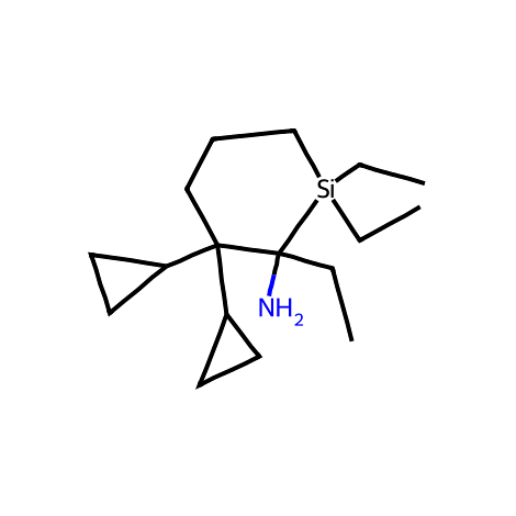 CCC1(N)C(C2CC2)(C2CC2)CCC[Si]1(CC)CC